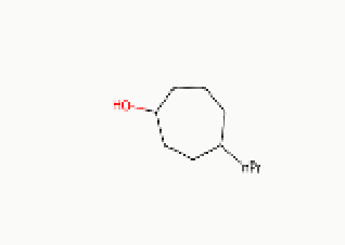 CCCC1CCCC(O)CC1